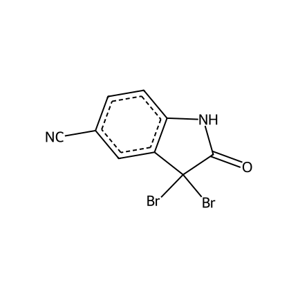 N#Cc1ccc2c(c1)C(Br)(Br)C(=O)N2